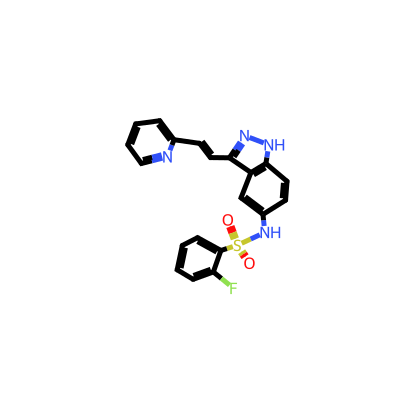 O=S(=O)(Nc1ccc2[nH]nc(C=Cc3ccccn3)c2c1)c1ccccc1F